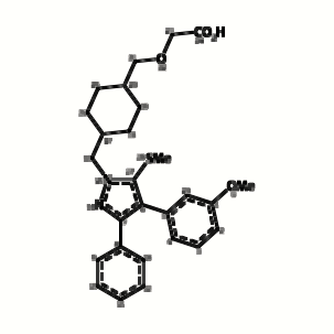 COc1cccc(-c2c(-c3ccccc3)nn(CC3CCC(COCC(=O)O)CC3)c2SC)c1